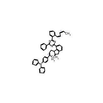 C=C1Cc2cccc(-c3nc(-c4ccccc4)nc(-c4ccccc4/C=C\C=C/C)n3)c2C1C/C=C(\C)c1ccc(N(c2ccccc2)c2ccccc2)cc1